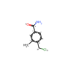 Cc1cc(C(N)=O)ccc1CCl